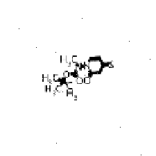 CN(C(=O)OC(C)(C)C)N1C=CC(=S)CC1=O